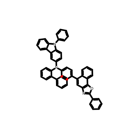 c1ccc(-c2nc3cc(-c4ccc(N(c5ccc6c(c5)c5ccccc5n6-c5ccccc5)c5ccccc5-c5ccccc5)cc4)c4ccccc4c3o2)cc1